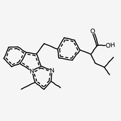 Cc1cc(C)n2c(n1)c(Cc1ccc(C(CC(C)C)C(=O)O)cc1)c1ccccc12